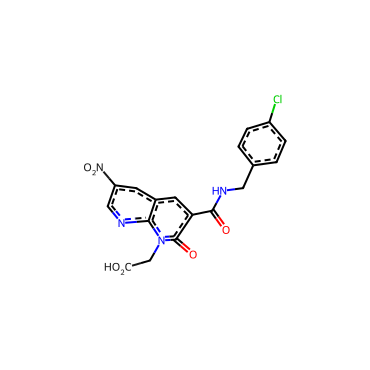 O=C(O)Cn1c(=O)c(C(=O)NCc2ccc(Cl)cc2)cc2cc([N+](=O)[O-])cnc21